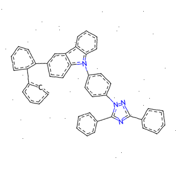 c1ccc(-c2nc(-c3ccccc3)n(-c3ccc(-n4c5ccccc5c5cc(-c6ccccc6-c6ccccc6)ccc54)cc3)n2)cc1